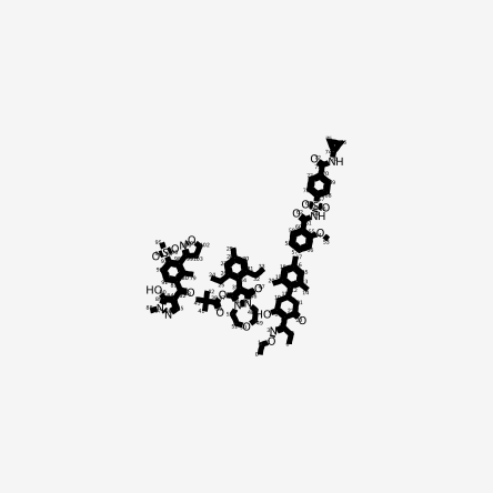 CCO/N=C(\CC)C1=C(O)CC(c2c(C)cc(C)cc2C)CC1=O.CCc1cc(C)cc(CC)c1-c1c(OC(=O)C(C)(C)C)n2n(c1=O)CCOCC2.COc1ccccc1C(=O)NS(=O)(=O)c1ccc(C(=O)NC2CC2)cc1.Cc1c(C(=O)c2cnn(C)c2O)ccc(S(C)(=O)=O)c1C1=NOCC1